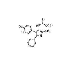 CCC(Nc1c(-c2ccc(=O)[nH]n2)c(-c2ccccc2)nn1C)C(=O)O